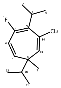 CC(C)C1=C(F)C=CC(C)(C(C)C)C=C1Cl